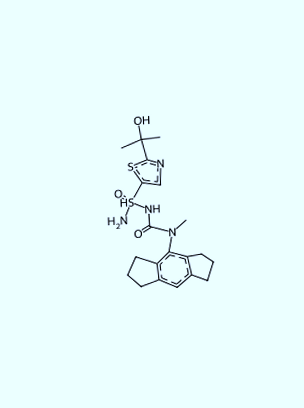 CN(C(=O)N[SH](N)(=O)c1cnc(C(C)(C)O)s1)c1c2c(cc3c1CCC3)CCC2